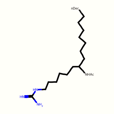 CCCCCCCCCCCCCCCCCC(CCCCCCNC(=N)N)NC(C)=O